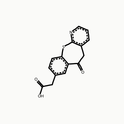 O=C(O)Cc1ccc2c(c1)C(=O)Cc1cccnc1S2